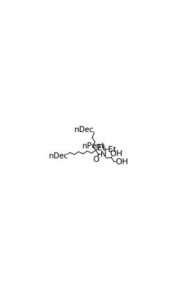 CCCCCCCCCCCCCCCCC(CC)(CCCCCCCCCCCCCC)C(=O)N(CC(O)CO)C(CC)CCCCC